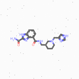 NC(=O)c1nc2c(C(=O)NCC3CCCN(Cc4c[nH]cn4)C3)cccc2[nH]1